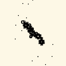 O=C1CN(S(=O)(=O)C2=Cc3ccc(Cl)cc3OC2)CC2OC3(CCN(Cc4ccccc4)CC3)CN12